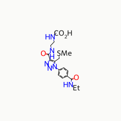 CCNC(=O)c1ccc(-n2nnc(C(=O)NCCNC(=O)O)c2CSC)cc1